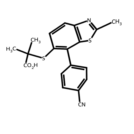 Cc1nc2ccc(SC(C)(C)C(=O)O)c(-c3ccc(C#N)cc3)c2s1